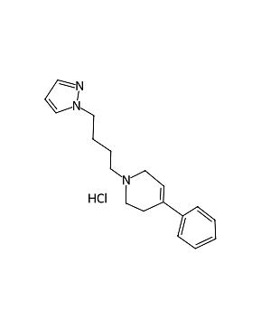 C1=C(c2ccccc2)CCN(CCCCn2cccn2)C1.Cl